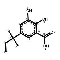 CCC(C)(C)c1cc(O)c(O)c(C(=O)O)c1